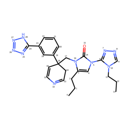 CCCc1cn(-c2nncn2CCC)c(=O)n1CC1(c2cccc(-c3nnn[nH]3)c2)C=CN=CC1